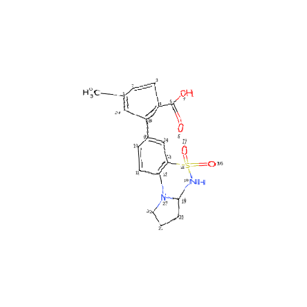 Cc1ccc(C(=O)O)c(-c2ccc3c(c2)S(=O)(=O)NC2CCCN32)c1